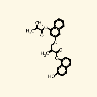 C=C(C)C(=O)Oc1cc(OCC(=C)C(=O)Oc2cccc3ccc(O)cc23)cc2ccccc12